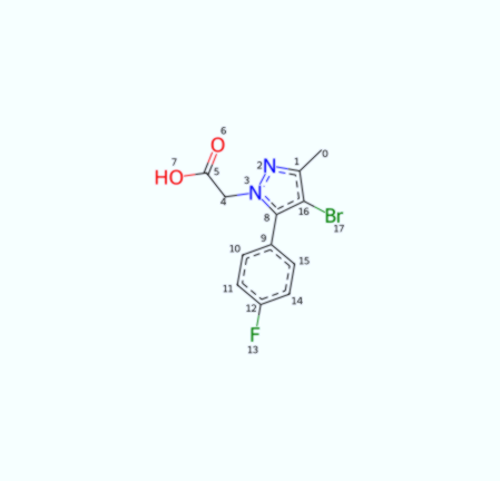 Cc1nn(CC(=O)O)c(-c2ccc(F)cc2)c1Br